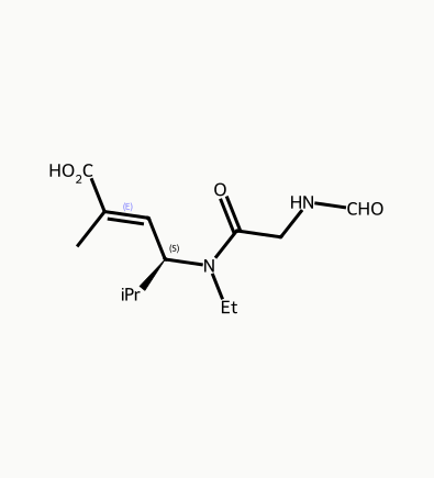 CCN(C(=O)CNC=O)[C@H](/C=C(\C)C(=O)O)C(C)C